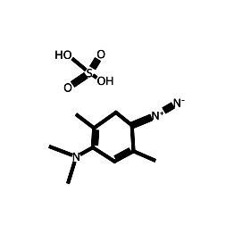 CC1=CC(N(C)C)=C(C)CC1=[N+]=[N-].O=S(=O)(O)O